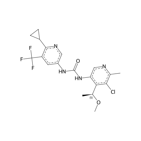 CO[C@@H](C)c1c(NC(=O)Nc2cnc(C3CC3)c(C(F)(F)F)c2)cnc(C)c1Cl